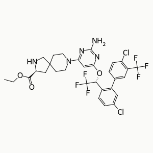 CCOC(=O)[C@@H]1CC2(CCN(c3cc(O[C@H](c4ccc(Cl)cc4-c4ccc(Cl)c(C(F)(F)F)c4)C(F)(F)F)nc(N)n3)CC2)CN1